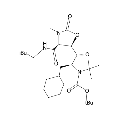 CCC(C)CNC(=O)[C@@H]1[C@H]([C@@H]2OC(C)(C)N(C(=O)OC(C)(C)C)[C@H]2CC2CCCCC2)OC(=O)N1C